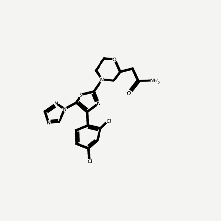 NC(=O)CC1CN(c2nc(-c3ccc(Cl)cc3Cl)c(-n3cncn3)s2)CCO1